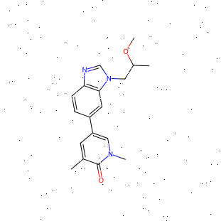 COC(C)Cn1cnc2ccc(-c3cc(C)c(=O)n(C)c3)cc21